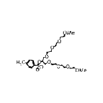 COCCOCCOCCOCC(COCCOCCOCCOC)OS(=O)(=O)c1ccc(C)cc1